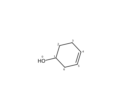 OC1[CH]CC=CC1